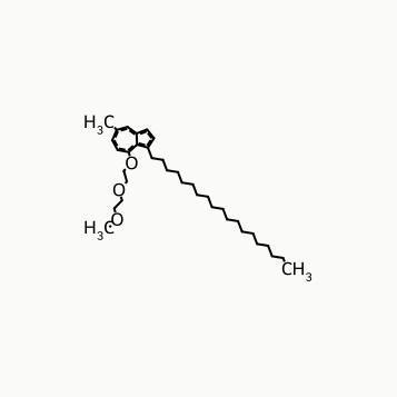 CCCCCCCCCCCCCCCCCCCc1ccc2cc(C)ccc(OCCOCCOC)c1-2